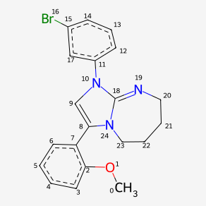 COc1ccccc1C1=CN(c2cccc(Br)c2)C2=NCCCCN12